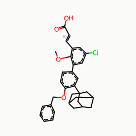 COc1c(/C=C/C(=O)O)cc(Cl)cc1-c1ccc(OCc2ccccc2)c(C23CC4CC(CC(C4)C2)C3)c1